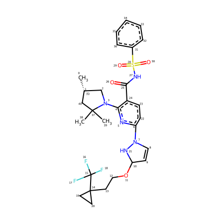 C[C@@H]1CN(c2nc(N3C=CC(OCCC4(C(F)(F)F)CC4)N3)ccc2C(=O)NS(=O)(=O)c2ccccc2)C(C)(C)C1